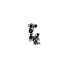 COC(=O)C(Cc1ccc(OCC2CN(C(CN3CCNCC3)C(=N)NC(=O)OC(C)(C)C)C(=O)O2)cc1)NC(=O)OC(C)(C)C